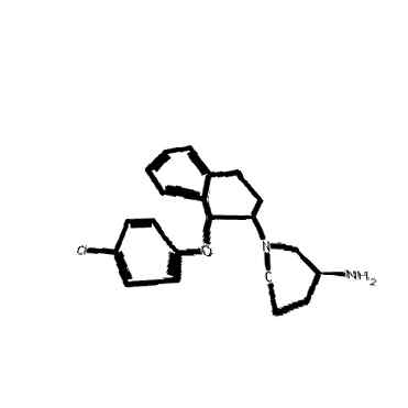 N[C@H]1CCCN(C2CCc3ccccc3C2Oc2ccc(Cl)cc2)C1